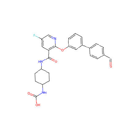 O=Cc1ccc(-c2cccc(Oc3ncc(F)cc3C(=O)NC3CCC(NC(=O)O)CC3)c2)cc1